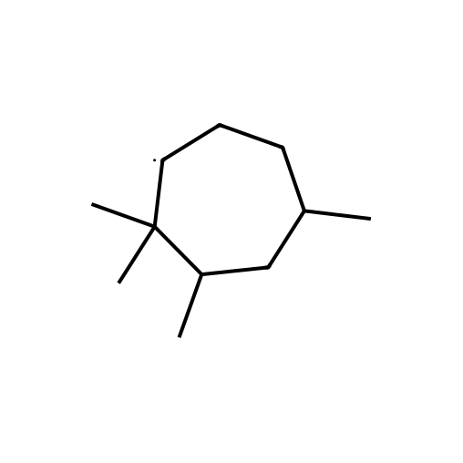 CC1CC[CH]C(C)(C)C(C)C1